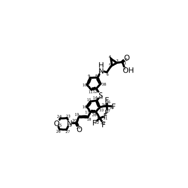 O=C(O)C1CC1CNc1cccc(Sc2ccc(C=CC(=O)N3CCOCC3)c(C(F)(F)F)c2C(F)(F)F)c1